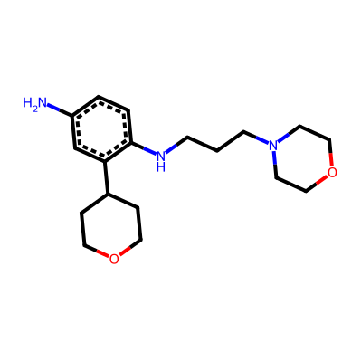 Nc1ccc(NCCCN2CCOCC2)c(C2CCOCC2)c1